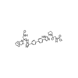 COC(=O)NCC(=O)N1CCC[C@H]1c1ncc(-c2ccc(-c3ccc(-c4cnc([C@@H]5CC6(CN5C(=O)CNC=O)OCCO6)[nH]4)cc3)cc2)[nH]1